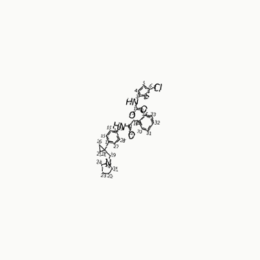 O=C(Nc1ccc(Cl)s1)OC(C(=O)Nc1ccc(C2(CN3CCCC3)CC2)cc1)c1ccccc1